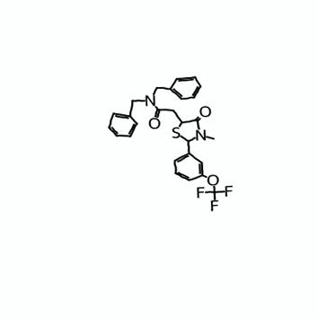 CN1C(=O)C(CC(=O)N(Cc2ccccc2)Cc2ccccc2)SC1c1cccc(OC(F)(F)F)c1